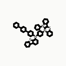 c1ccc(-c2ccc(-c3ccc(N(c4ccc(N5c6ccccc6Sc6c5n(-c5ccccc5)c5ccccc65)cc4)c4cccc5c4sc4ccccc45)cc3)cc2)cc1